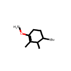 CC1=C(O[SiH3])CCC(C(C)(C)C)C1C